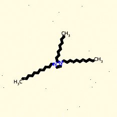 CCCCCCCCCCCCN1C=CN(CCCCCCCCCCC)C1CCCCCCCCC